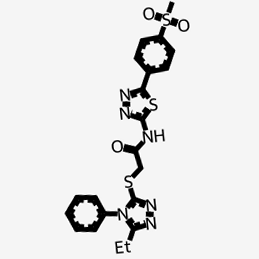 CCc1nnc(SCC(=O)Nc2nnc(-c3ccc(S(C)(=O)=O)cc3)s2)n1-c1ccccc1